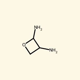 NC1COC1N